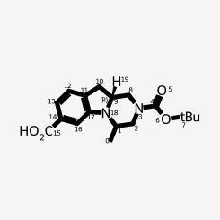 CC1CN(C(=O)OC(C)(C)C)C[C@H]2Cc3ccc(C(=O)O)cc3N12